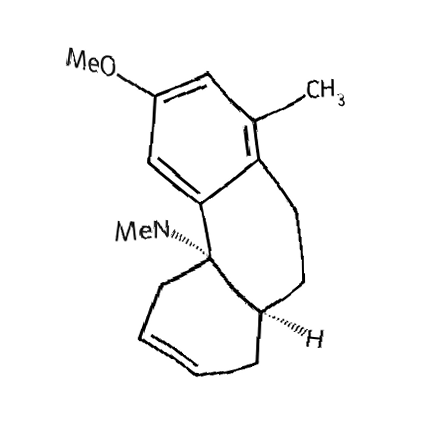 CN[C@@]12CC=CC[C@@H]1CCc1c(C)cc(OC)cc12